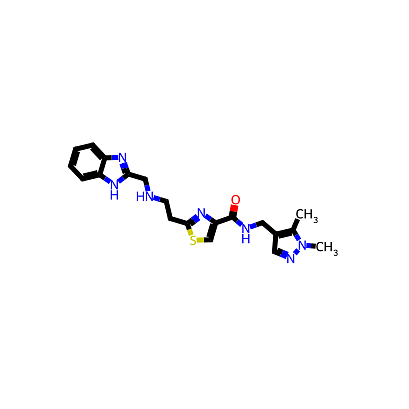 Cc1c(CNC(=O)c2csc(CCNCc3nc4ccccc4[nH]3)n2)cnn1C